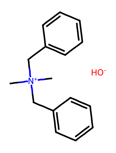 C[N+](C)(Cc1ccccc1)Cc1ccccc1.[OH-]